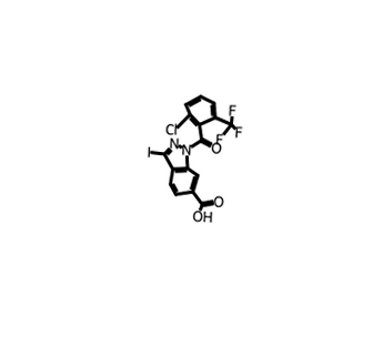 O=C(O)c1ccc2c(I)nn(C(=O)c3c(Cl)cccc3C(F)(F)F)c2c1